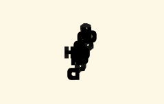 O=S(=O)(Nc1nc2cc(Cl)ccc2o1)c1cccc(S(=O)(=O)N2CCCCC2)c1